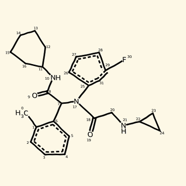 Cc1ccccc1C(C(=O)NC1CCCCC1)N(C(=O)CNC1CC1)c1cccc(F)c1